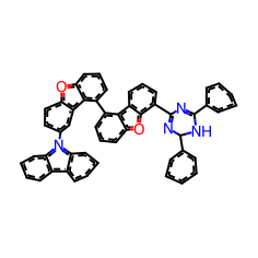 c1ccc(C2=NC(c3cccc4c3oc3cccc(-c5cccc6oc7ccc(-n8c9ccccc9c9ccccc98)cc7c56)c34)=NC(c3ccccc3)N2)cc1